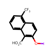 O=C(O)c1c(OI)ccc2c(C(F)(F)F)cccc12